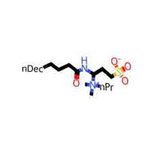 CCCCCCCCCCCCCC(=O)NC(CCS(=O)(=O)[O-])[N+](C)(C)CCC